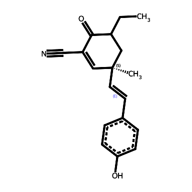 CCC1C[C@@](C)(/C=C/c2ccc(O)cc2)C=C(C#N)C1=O